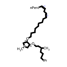 CCCCC/C=C\C/C=C\CCCCCCCCO[C@@H]1CN(C)C[C@H]1OCCC(C)CCCC(C)C